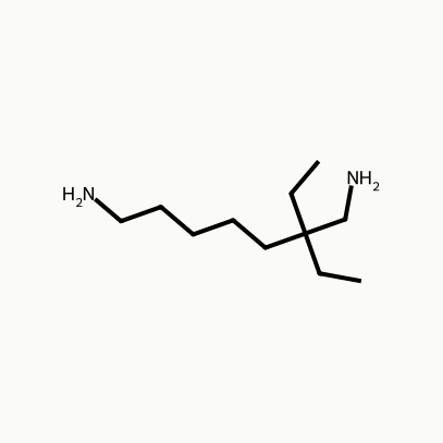 CCC(CC)(CN)CCCCCN